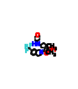 CC(C)(O)[C@]1(C(=O)N2CCc3ccc(C(F)(F)F)cc3C2)CC[C@@H](NC2CCOCC2)C1